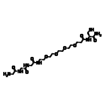 NCC(=O)NCC(=O)NCC(=O)NCCOCCOCCOCCOCCC(=O)N[C@@H](CS)C(N)=O